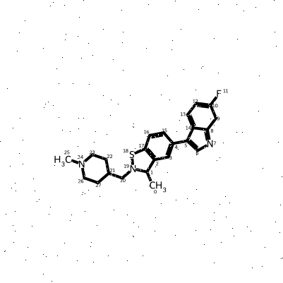 CC1c2cc(C3=CN=C4CC(F)=CC=C34)ccc2SN1CC1CCN(C)CC1